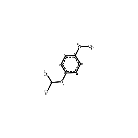 CCC(CC)Oc1ccc(OC(F)(F)F)cc1